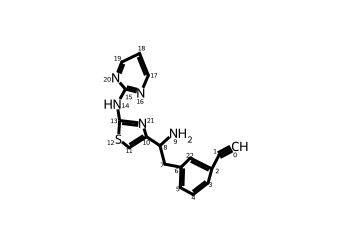 C#Cc1cccc(CC(N)c2csc(Nc3ncccn3)n2)c1